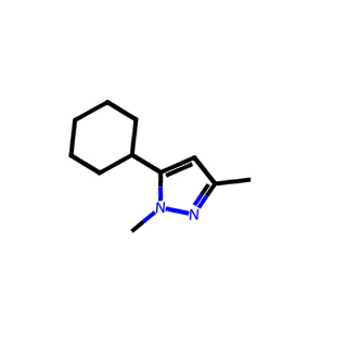 Cc1cc(C2CCCCC2)n(C)n1